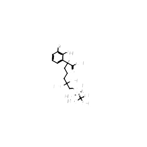 CC(C)(CCC[C@@](C)(C(=O)O)c1cccc(Br)c1F)CO[Si](C)(C)C(C)(C)C